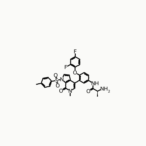 Cc1ccc(S(=O)(=O)n2ccc3c(-c4cc(NC(=O)[C@H](C)N)ccc4Oc4ccc(F)cc4F)cn(C)c(=O)c32)cc1